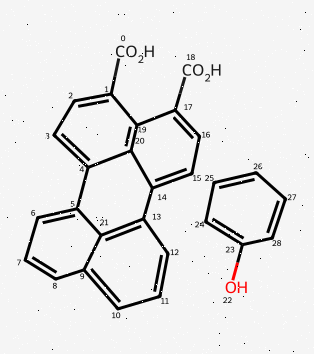 O=C(O)c1ccc2c3cccc4cccc(c5ccc(C(=O)O)c1c25)c43.Oc1ccccc1